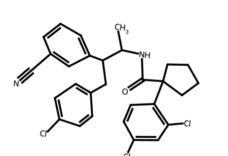 CC(NC(=O)C1(c2ccc(Cl)cc2Cl)CCCC1)C(Cc1ccc(Cl)cc1)c1cccc(C#N)c1